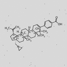 C=C(C)[C@@H]1CC[C@]2(CN3CC3)CC[C@]3(C)[C@H](CC[C@@H]4[C@@]5(C)CC=C(c6ccc(C(=O)O)cc6)C(C)(C)[C@@H]5CC[C@]43C)[C@@H]12